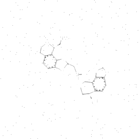 CNC[C@@H]1OC[C@@H](O)c2ccc3c(c21)OC(CNC[C@H]1OC[C@H](O)c2ccc4c(c21)OCO4)O3